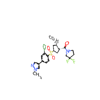 Cn1cc(-c2ccc(S(=O)(=O)[C@H]3C[C@@H](C(=O)O)[C@H](C(=O)N4CCC(F)(F)C4)C3)c(Cl)c2)cn1